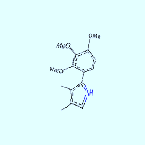 COc1ccc(-c2[nH]cc(C)c2C)c(OC)c1OC